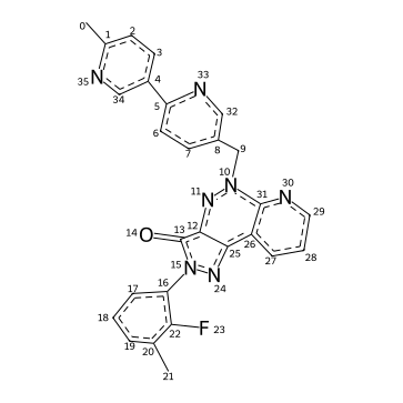 Cc1ccc(-c2ccc(Cn3nc4c(=O)n(-c5cccc(C)c5F)nc-4c4cccnc43)cn2)cn1